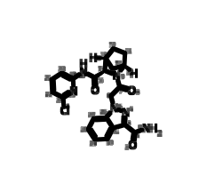 NC(=O)c1nn(CC(=O)N2[C@H]3CC[C@H](C3)[C@@H]2C(=O)Nc2cccc(Cl)n2)c2ccccc12